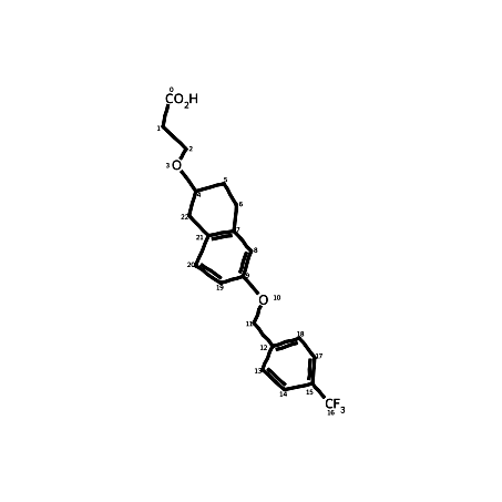 O=C(O)CCOC1CCc2cc(OCc3ccc(C(F)(F)F)cc3)ccc2C1